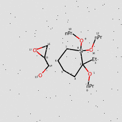 CCCOC1(CC)CCCC[Si]1(OCCC)OCCC.[O]CC1CO1